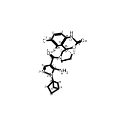 Nc1c(C(=O)N2CCC[C@@]3(C2)OC(=O)Nc2ccc(Cl)c(F)c23)cnn1C12CCC(C1)C2